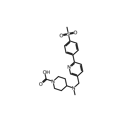 CN(Cc1ccc(-c2ccc(S(C)(=O)=O)cc2)nc1)C1CCN(C(=O)O)CC1